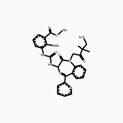 CNc1c(NC(=O)NC2N=C(c3ccccn3)c3ccccc3N(CC(=O)C(C)(C)COC(C)=O)C2=O)cccc1C(=O)OC(C)(C)C